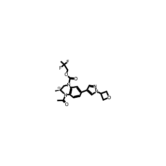 CC(=O)N1c2ccc(-c3cnn(C4COC4)c3)cc2N(C(=O)OCC(C)(F)F)C[C@@H]1C